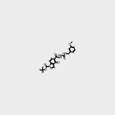 COc1cccc(CNC(=S)NNC(=O)c2ccc3c(cnn3C(=O)OC(C)(C)C)c2Cl)c1